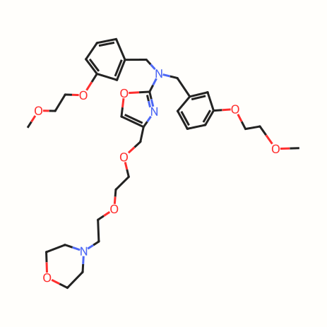 COCCOc1cccc(CN(Cc2cccc(OCCOC)c2)c2nc(COCCOCCN3CCOCC3)co2)c1